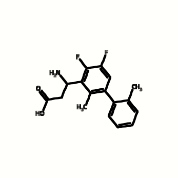 Cc1ccccc1-c1cc(F)c(F)c(C(N)CC(=O)O)c1C